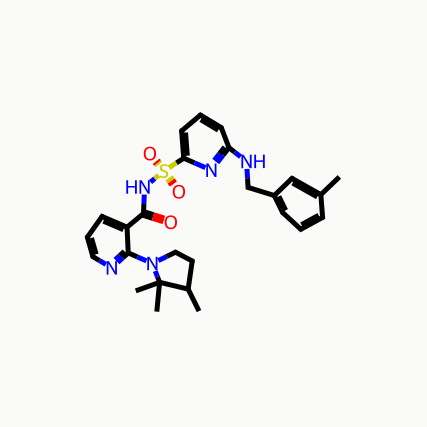 Cc1cccc(CNc2cccc(S(=O)(=O)NC(=O)c3cccnc3N3CCC(C)C3(C)C)n2)c1